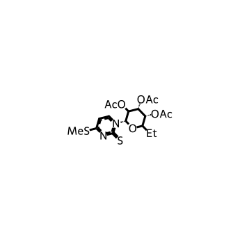 CCC1O[C@H](n2ccc(SC)nc2=S)C(OC(C)=O)[C@H](OC(C)=O)[C@@H]1OC(C)=O